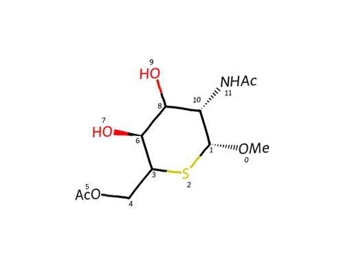 CO[C@@H]1SC(COC(C)=O)[C@@H](O)C(O)[C@@H]1NC(C)=O